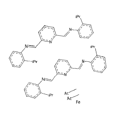 CC(C)=O.CC(C)=O.CC(C)c1ccccc1N=Cc1cccc(C=Nc2ccccc2C(C)C)n1.CC(C)c1ccccc1N=Cc1cccc(C=Nc2ccccc2C(C)C)n1.[Fe]